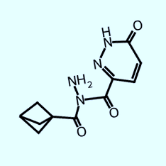 NN(C(=O)c1ccc(=O)[nH]n1)C(=O)C12CC(C1)C2